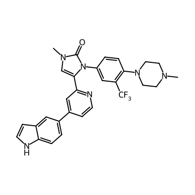 CN1CCN(c2ccc(-n3c(-c4cc(-c5ccc6[nH]ccc6c5)ccn4)cn(C)c3=O)cc2C(F)(F)F)CC1